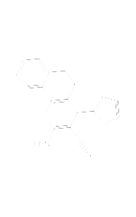 N#CC1=C(N)OC2=C(CCc3ccccc32)C1c1cccs1